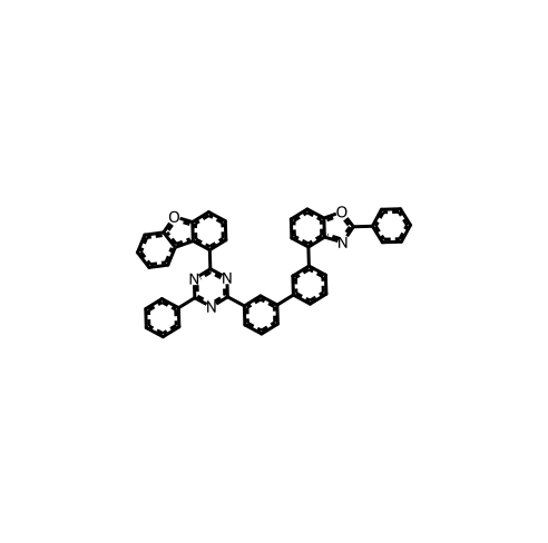 c1ccc(-c2nc(-c3cccc(-c4cccc(-c5cccc6oc(-c7ccccc7)nc56)c4)c3)nc(-c3cccc4oc5ccccc5c34)n2)cc1